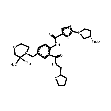 CO[C@H]1CCN(c2nc(C(=O)Nc3ccc(CN4CCOCC4(C)C)cc3C(=O)NC[C@H]3CCCO3)cs2)C1